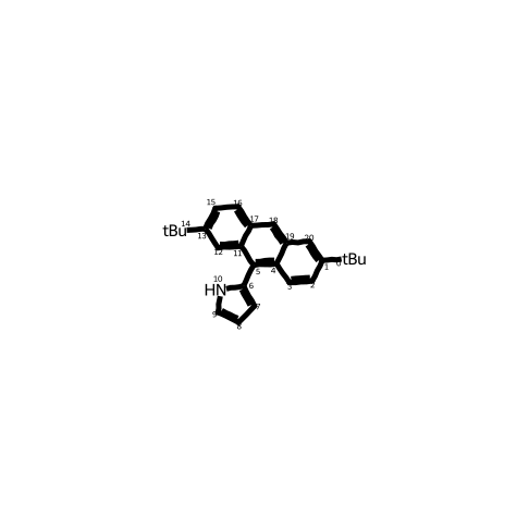 CC(C)(C)c1ccc2c(-c3ccc[nH]3)c3cc(C(C)(C)C)ccc3cc2c1